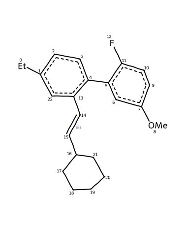 CCc1ccc(-c2cc(OC)ccc2F)c(/C=C/C2CCCCC2)c1